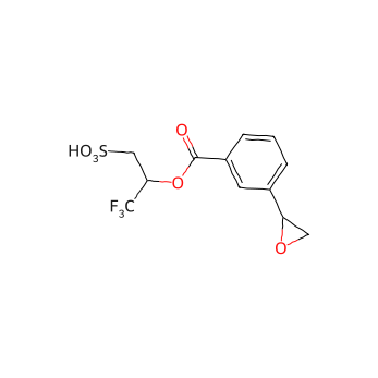 O=C(OC(CS(=O)(=O)O)C(F)(F)F)c1cccc(C2CO2)c1